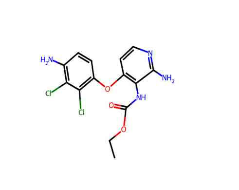 CCOC(=O)Nc1c(Oc2ccc(N)c(Cl)c2Cl)ccnc1N